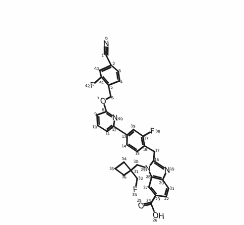 N#Cc1ccc(COc2cccc(-c3ccc(Cc4nc5ccc(C(=O)O)cc5n4CC4(CF)CCC4)c(F)c3)n2)c(F)c1